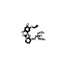 C#CCOc1cc(-n2nc3n(c2=O)CCCC3)c(Cl)cc1Cl.CCCCSP(=O)(SCCCC)SCCCC